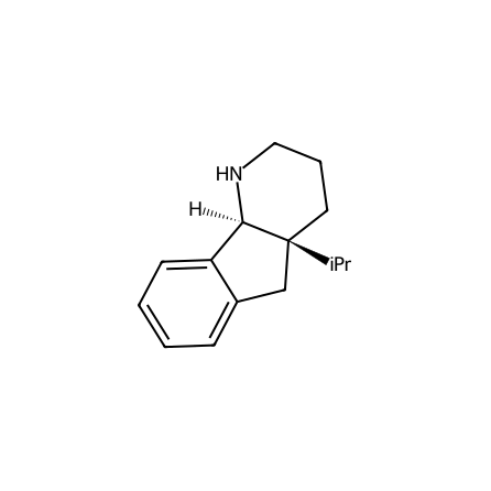 CC(C)[C@]12CCCN[C@@H]1c1ccccc1C2